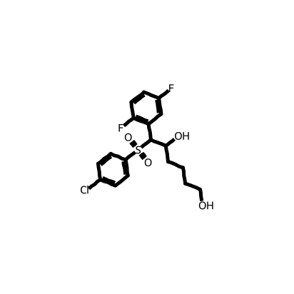 O=S(=O)(c1ccc(Cl)cc1)C(c1cc(F)ccc1F)C(O)CCCCO